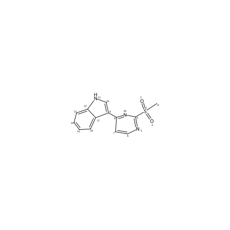 CS(=O)(=O)c1nccc(-c2c[nH]c3ccccc23)n1